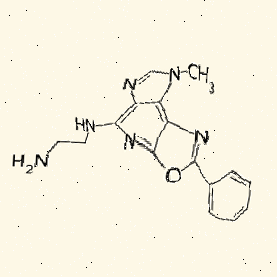 Cn1cnc2c(NCCN)nc3oc(-c4ccccc4)nc3c21